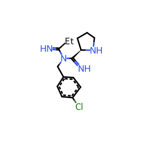 CCC(=N)N(Cc1ccc(Cl)cc1)C(=N)[C@H]1CCCN1